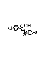 Cl.O=C(CCC(=O)N1CCN(C2CC2)CC1)c1ccc(Cl)cc1